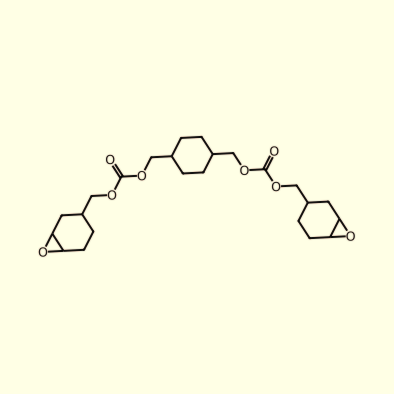 O=C(OCC1CCC(COC(=O)OCC2CCC3OC3C2)CC1)OCC1CCC2OC2C1